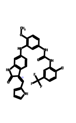 COc1ccc(NC(=O)Nc2cc(C(F)(F)F)ccc2Cl)cc1Nc1ccc2c(c1)NC(=O)/C2=C\c1ccc[nH]1